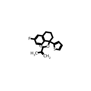 C=C(C)C(=O)OC1(c2cccs2)CCCc2cc(F)ccc21